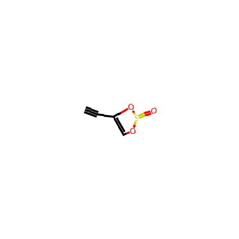 C#CC1=COS(=O)O1